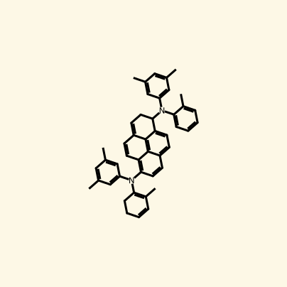 CC1=C(N(c2cc(C)cc(C)c2)c2ccc3ccc4c5c(ccc2c35)=CCC4N(c2cc(C)cc(C)c2)c2ccccc2C)CCC=C1